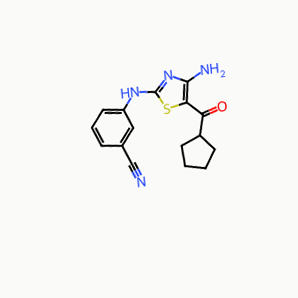 N#Cc1cccc(Nc2nc(N)c(C(=O)C3CCCC3)s2)c1